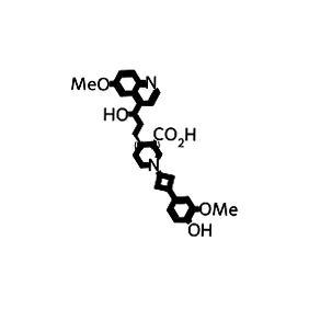 COc1ccc2nccc(C(O)CC[C@@H]3CCN(C4CC(c5ccc(O)c(OC)c5)C4)C[C@@H]3C(=O)O)c2c1